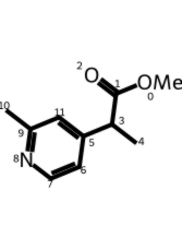 COC(=O)C(C)c1ccnc(C)c1